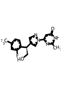 Cc1nc(-n2cc([C@@H](CO)c3ccc(C(F)(F)F)cc3F)cn2)cc(=O)[nH]1